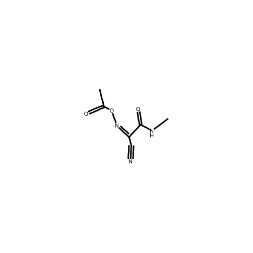 CNC(=O)/C(C#N)=N\OC(C)=O